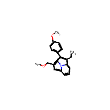 CCc1c(-c2ccc(OC)cc2)c2c(COC)cc3cccc1n32